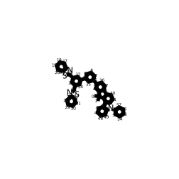 CC1(C)c2cc(-c3cccc(-c4cc(-c5nc6ccccc6s5)cc(-c5nc6ccccc6s5)c4)c3)ccc2-c2ccc3c(c21)c1ccccc1n3-c1ccccc1